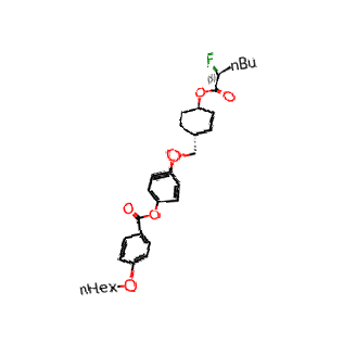 CCCCCCOc1ccc(C(=O)Oc2ccc(OC[C@H]3CC[C@H](OC(=O)[C@@H](F)CCCC)CC3)cc2)cc1